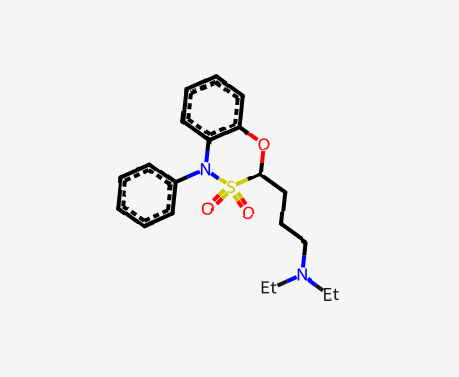 CCN(CC)CCCC1Oc2ccccc2N(c2ccccc2)S1(=O)=O